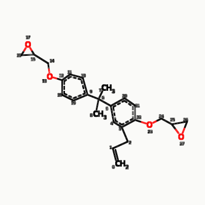 C=CCc1cc(C(C)(C)c2ccc(OCC3CO3)cc2)ccc1OCC1CO1